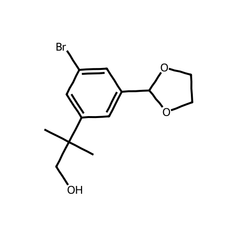 CC(C)(CO)c1cc(Br)cc(C2OCCO2)c1